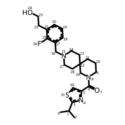 CC(C)c1nc(C(=O)N2CCCC3(CCN(Cc4cccc(CCO)c4F)CC3)C2)cs1